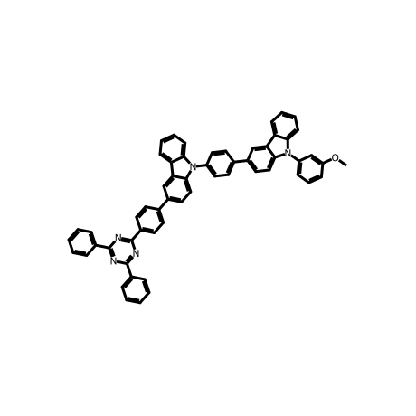 COc1cccc(-n2c3ccccc3c3cc(-c4ccc(-n5c6ccccc6c6cc(-c7ccc(-c8nc(-c9ccccc9)nc(-c9ccccc9)n8)cc7)ccc65)cc4)ccc32)c1